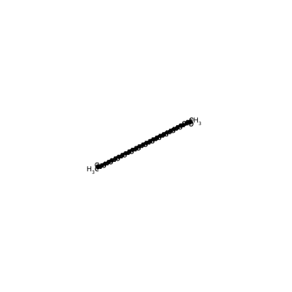 CC(=O)CCOCCCOCCCOCCCOCCCOCCCOCCCOCCCOCCCOCCCOCCCOCCCOCCOCCC(C)=O